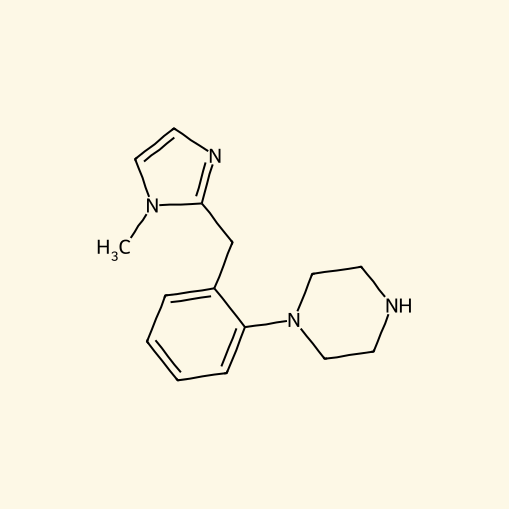 Cn1ccnc1Cc1ccccc1N1CCNCC1